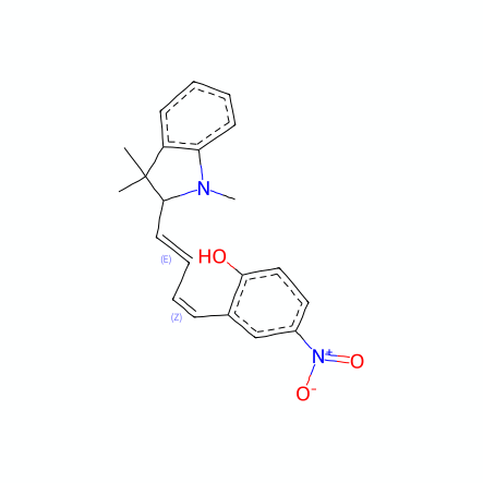 CN1c2ccccc2C(C)(C)C1/C=C/C=C\c1cc([N+](=O)[O-])ccc1O